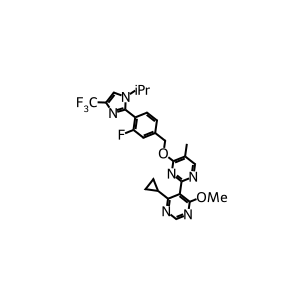 COc1ncnc(C2CC2)c1-c1ncc(C)c(OCc2ccc(-c3nc(C(F)(F)F)cn3C(C)C)c(F)c2)n1